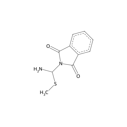 CSC(N)N1C(=O)c2ccccc2C1=O